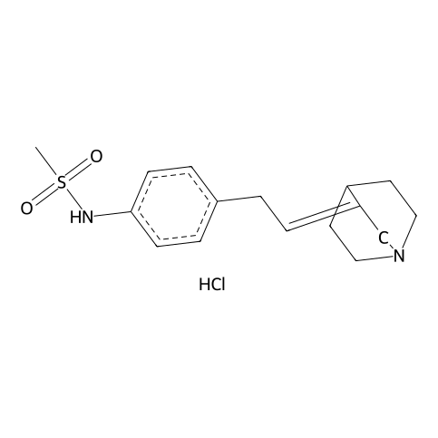 CS(=O)(=O)Nc1ccc(CC=C2CN3CCC2CC3)cc1.Cl